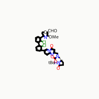 COc1nc(-c2cccc(-c3cccc(-c4ccc5nc(CN(C[C@@H]6CCC(=O)N6)C(=O)OC(C)(C)C)cc(=O)n5c4)c3Cl)c2Cl)ccc1C=O